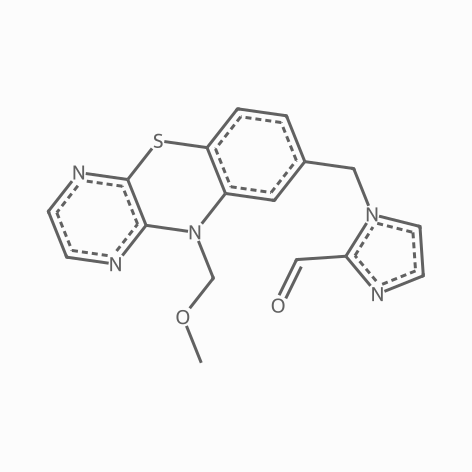 COCN1c2cc(Cn3ccnc3C=O)ccc2Sc2nccnc21